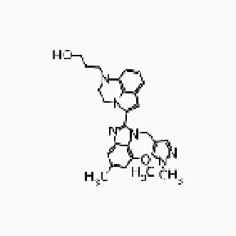 COc1cc(C)cc2nc(-c3cc4cccc5c4n3CCN5CCCO)n(Cc3cnn(C)c3)c12